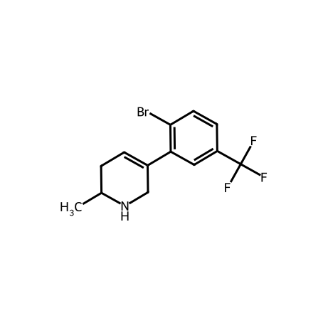 CC1CC=C(c2cc(C(F)(F)F)ccc2Br)CN1